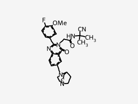 COc1cc(-c2nc3ccc(N4CCN5CCC4CC5)cc3c(=O)n2CC(=O)NC(C)(C)C#N)ccc1F